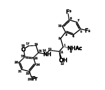 CC(=O)N[C@@H](Cc1cc(F)cc(F)c1)[C@@H](O)CNC1CCOc2ccc(C(C)C)cc21